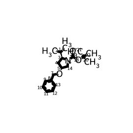 CC(C)[C@@H]1C[C@@H](OCc2ccccc2)CN1C(=O)OC(C)(C)C